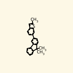 Cc1cc2ccc(-c3ccc4c(c3)-c3ccccc3C4(C)C)cc2s1